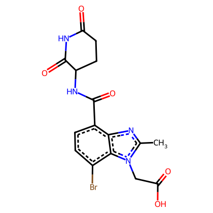 Cc1nc2c(C(=O)NC3CCC(=O)NC3=O)ccc(Br)c2n1CC(=O)O